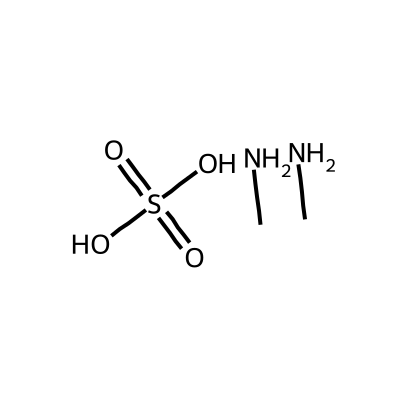 CN.CN.O=S(=O)(O)O